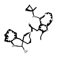 Cc1oc2ncnc(NC3(C)CC3)c2c1C(=O)N1CCC2(C1)c1ccccc1NC2O